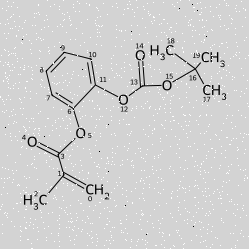 C=C(C)C(=O)Oc1ccccc1OC(=O)OC(C)(C)C